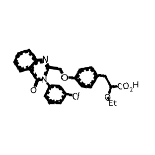 CCOC(Cc1ccc(OCc2nc3ccccc3c(=O)n2-c2cccc(Cl)c2)cc1)C(=O)O